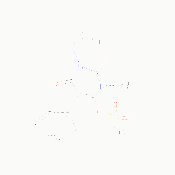 Cn1c(OS(C)(=O)=O)c(-c2ccccc2)c(=O)n(CS(=O)(=O)O)c1=O